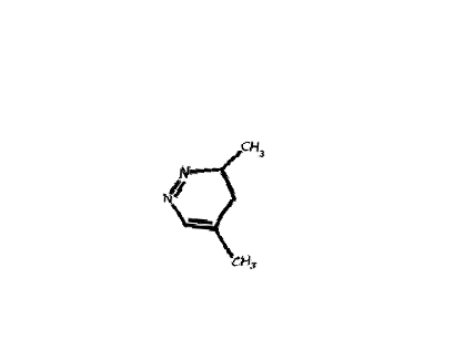 CC1=CN=NC(C)C1